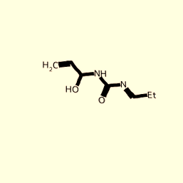 C=CC(O)NC(=O)N=CCC